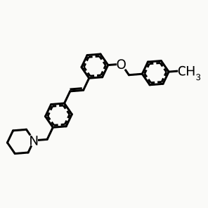 Cc1ccc(COc2cccc(/C=C/c3ccc(CN4CCCCC4)cc3)c2)cc1